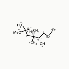 CCOC[C@H](O)C(C)(C)CC(C)(C)OC